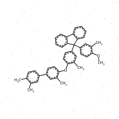 COc1ccc(C2(c3ccc(Oc4ccc(-c5ccc(C)c(C)c5)cc4C)c(C)c3)c3ccccc3-c3ccccc32)cc1C